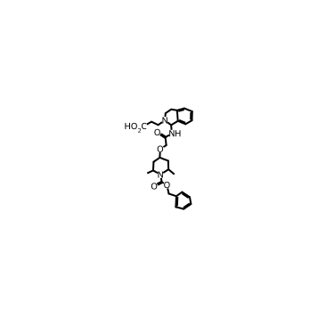 CC1CC(OCC(=O)NC2c3ccccc3CCN2CCC(=O)O)CC(C)N1C(=O)OCc1ccccc1